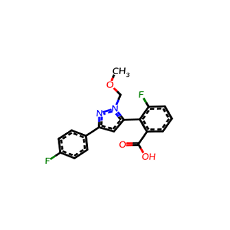 COCn1nc(-c2ccc(F)cc2)cc1-c1c(F)cccc1C(=O)O